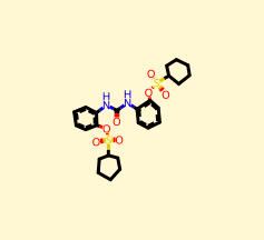 O=C(Nc1ccccc1OS(=O)(=O)C1CCCCC1)Nc1ccccc1OS(=O)(=O)C1CCCCC1